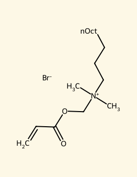 C=CC(=O)OC[N+](C)(C)CCCCCCCCCCC.[Br-]